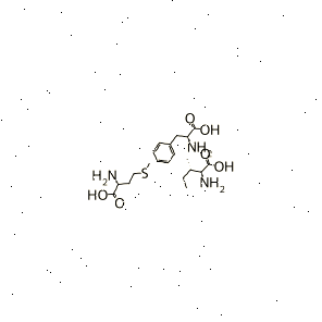 CC[C@H](C)[C@H](N)C(=O)O.CSCC[C@H](N)C(=O)O.N[C@@H](Cc1ccccc1)C(=O)O